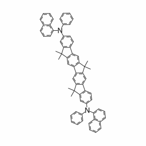 CC1(C)c2cc(N(c3ccccc3)c3cccc4ccccc34)ccc2-c2cc3c(cc21)-c1cc2c(cc1C3(C)C)-c1ccc(N(c3ccccc3)c3cccc4ccccc34)cc1C2(C)C